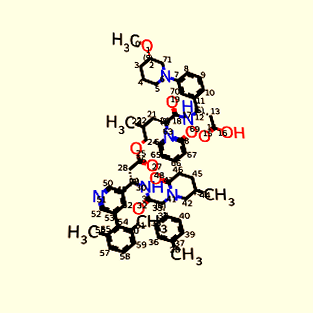 CO[C@H]1CCCN(c2cccc([C@H](CC(=O)O)NC(=O)[C@H](CC(C)COC(=O)C[C@H](NC(=O)[C@@H](c3ccc(C)cc3)N3CC(C)CCC3=O)c3cncc(-c4c(C)cccc4C)c3)n3ccccc3=O)c2)C1